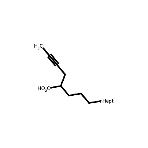 CC#CCC(CCCCCCCCCC)C(=O)O